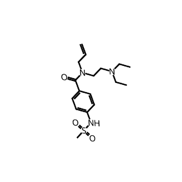 C=CCN(CCN(CC)CC)C(=O)c1ccc(NS(C)(=O)=O)cc1